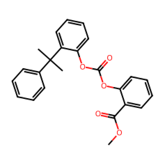 COC(=O)c1ccccc1OC(=O)Oc1ccccc1C(C)(C)c1ccccc1